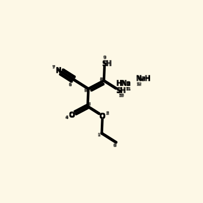 CCOC(=O)C(C#N)=C(S)S.[NaH].[NaH]